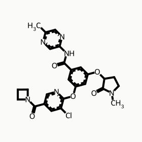 Cc1cnc(NC(=O)c2cc(Oc3ncc(C(=O)N4CCC4)cc3Cl)cc(OC3CCN(C)C3=O)c2)cn1